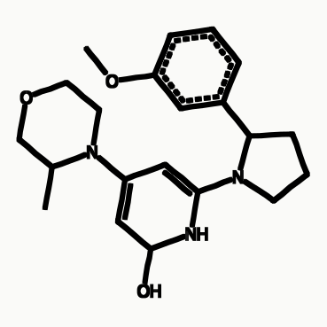 COc1cccc(C2CCCN2C2=CC(N3CCOCC3C)=CC(O)N2)c1